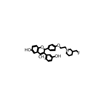 CC1=C(c2cccc(O)c2)C(c2ccc(OCCN3CCCC(CF)C3)cc2)Oc2ccc(O)cc21